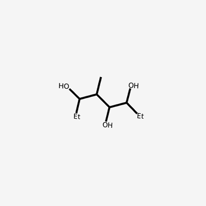 CCC(O)C(C)C(O)C(O)CC